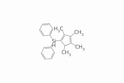 C[C]1C(C)=C(C)C(C)=C1[SiH](c1ccccc1)c1ccccc1